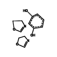 C1=NCCO1.C1=NCCO1.Oc1cccc(O)c1